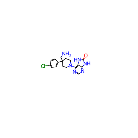 NCC1(c2ccc(Cl)cc2)CCN(c2ncnc3[nH]c(=O)[nH]c23)CC1